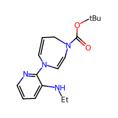 CCNc1cccnc1N1C=CCN(C(=O)OC(C)(C)C)C=C1